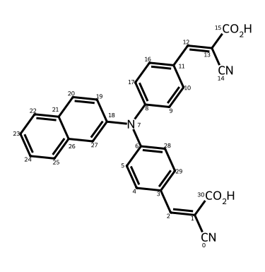 N#C/C(=C/c1ccc(N(c2ccc(/C=C(\C#N)C(=O)O)cc2)c2ccc3ccccc3c2)cc1)C(=O)O